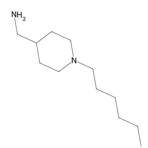 CCCCCCN1CCC(CN)CC1